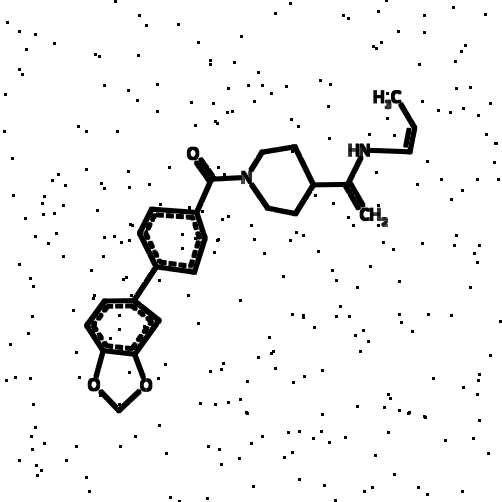 C=C(N/C=C\C)C1CCN(C(=O)c2ccc(-c3ccc4c(c3)OCO4)cc2)CC1